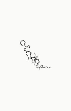 CCCCOC(C)O[C@H]1C=C[C@H]2[C@@H]3CCc4cc(OC(=O)c5ccccc5)ccc4[C@H]3CC[C@]12C